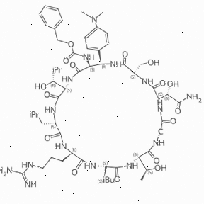 CC[C@H](C)[C@@H]1NC(=O)[C@@H](CCCNC(=N)N)NC(=O)[C@H](CC(C)C)NC(=O)[C@H]([C@H](O)C(C)C)NC(=O)[C@@H](NC(=O)OCc2ccccc2)[C@@H](c2ccc(N(C)C)cc2)NC(=O)[C@H](CO)NC(=O)[C@H]([C@H](O)C(N)=O)NC(=O)CNC(=O)[C@H]([C@H](C)O)NC1=O